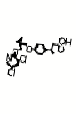 CC(CC(=O)O)c1ccc(OCC2(COc3ncc(Cl)cc3Cl)CC2)cc1